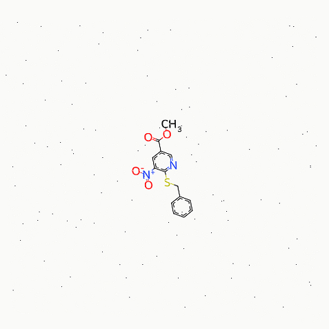 COC(=O)c1cnc(SCc2ccccc2)c([N+](=O)[O-])c1